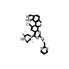 Cc1ccc2cn[nH]c2c1-c1c(Cl)cc2c(N3C[C@H](C)NC[C@H]3C)nc(OCCc3ncccn3)nc2c1F